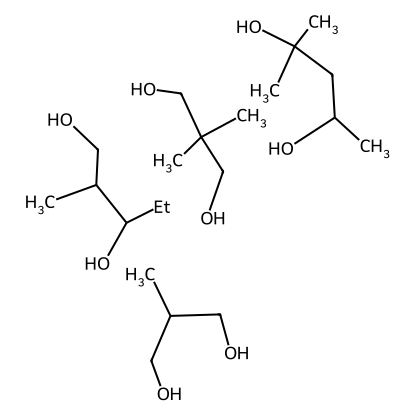 CC(C)(CO)CO.CC(CO)CO.CC(O)CC(C)(C)O.CCC(O)C(C)CO